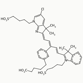 CC1(C)C2=CC(Cl)=CN(CCCCS(=O)(=O)O)C2=N/C1=C/C=C(/C=C/C1=[N+](CCCCS(=O)(=O)O)c2ccccc2C1(C)C)c1cccc(CCCCC(=O)O)c1